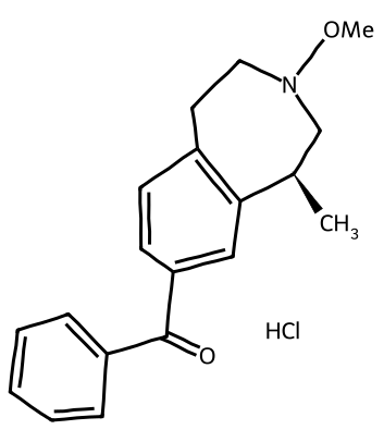 CON1CCc2ccc(C(=O)c3ccccc3)cc2[C@H](C)C1.Cl